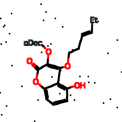 CCC=CCCOc1c(OCCCCCCCCCC)c(=O)oc2cccc(O)c12